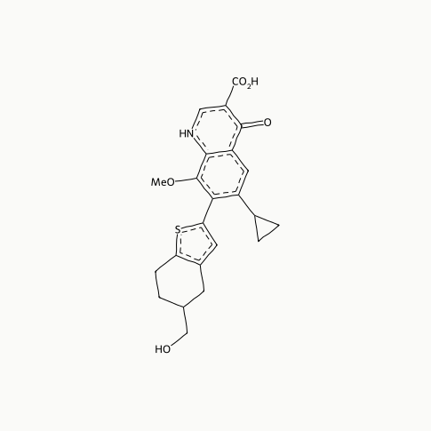 COc1c(-c2cc3c(s2)CCC(CO)C3)c(C2CC2)cc2c(=O)c(C(=O)O)c[nH]c12